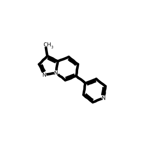 Cc1cnn2cc(-c3ccncc3)ccc12